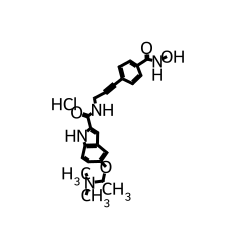 CC(Oc1ccc2[nH]c(C(=O)NCC#Cc3ccc(C(=O)NO)cc3)cc2c1)N(C)C.Cl